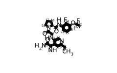 CCc1cc(C(=N)C(N)=O)c(NCC(=O)N2CCC[C@H]2C(=O)Nc2cccc(OC(F)(F)F)c2F)cn1